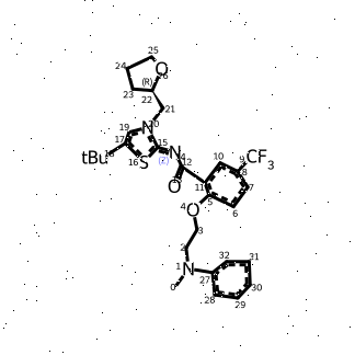 CN(CCOc1ccc(C(F)(F)F)cc1C(=O)/N=c1\sc(C(C)(C)C)cn1C[C@H]1CCCO1)c1ccccc1